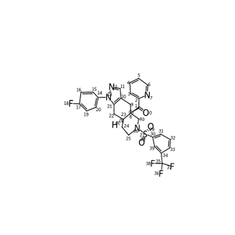 O=C(c1ccccn1)[C@]12Cc3cnn(-c4ccc(F)cc4)c3C[C@@H]1CCN(S(=O)(=O)c1cccc(C(F)(F)F)c1)C2